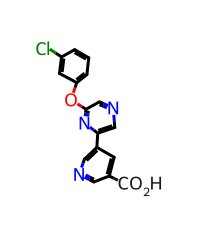 O=C(O)c1cncc(-c2cncc(Oc3cccc(Cl)c3)n2)c1